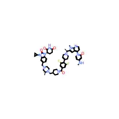 CNc1ccn(-c2ccnc3c2cc([C@H](C)N2CC=C(c4c(F)cc(C(=O)N5CCC(CN6CCN(Cc7ccc8c(c7)n(C7CC7)c(=O)n8[C@H]7CCC(=O)NC7=O)C[C@@H]6C)CC5)cc4F)CC2)n3C)c(=O)c1